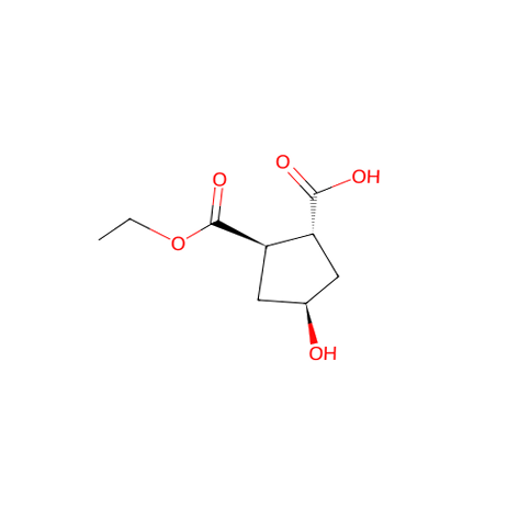 CCOC(=O)[C@@H]1C[C@H](O)C[C@H]1C(=O)O